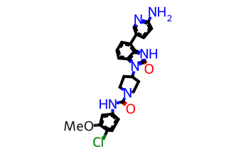 COc1cc(NC(=O)N2CCC(n3c(=O)[nH]c4c(-c5ccc(N)nc5)cccc43)CC2)ccc1Cl